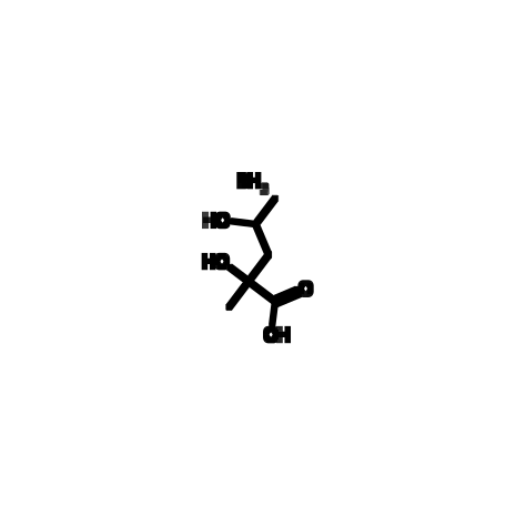 B.CC(O)CC(C)(O)C(=O)O